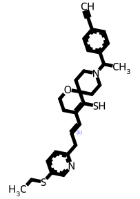 C#Cc1ccc(C(C)N2CCC3(CC2)OCCC(/C=C/Cc2ccc(SCC)cn2)=C3S)cc1